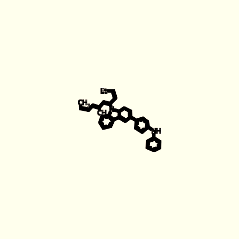 C\C=C/C=C(C)/C=C(/C=C\CC)N1c2ccccc2C2=CC(c3ccc(Nc4ccccc4)cc3)=CCC21